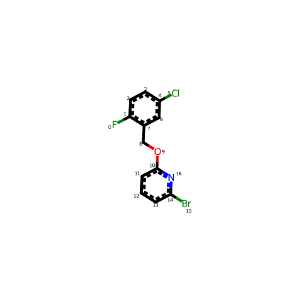 Fc1ccc(Cl)cc1COc1cccc(Br)n1